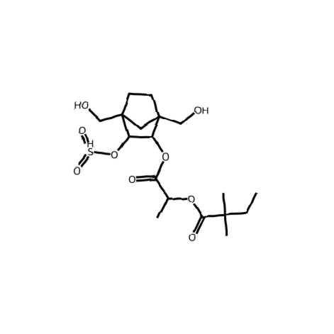 CCC(C)(C)C(=O)OC(C)C(=O)OC1C(O[SH](=O)=O)C2(CO)CCC1(CO)C2